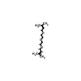 CC(C)=CCOCCOCCOCC=C(C)C